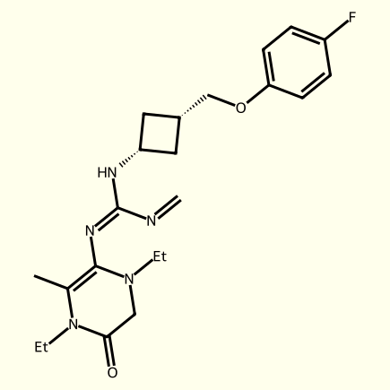 C=N/C(=N\C1=C(C)N(CC)C(=O)CN1CC)N[C@H]1C[C@@H](COc2ccc(F)cc2)C1